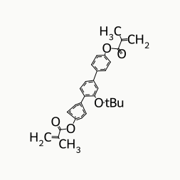 C=C(C)C(=O)Oc1ccc(-c2ccc(-c3ccc(OC(=O)C(=C)C)cc3)c(OC(C)(C)C)c2)cc1